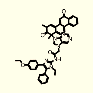 CCOc1ccc(-c2nc(NC(=O)CN3CN(C4(C)C(=O)C(C)C=c5c4ccc4c5=CC(=O)c5ccccc5-4)c4ncncc43)n(CC)c2-c2ccccc2)cc1